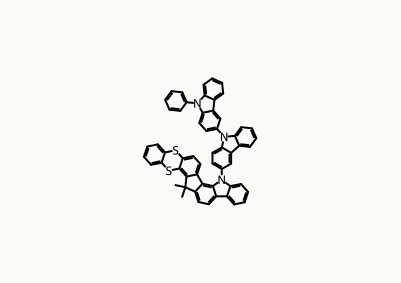 CC1(C)c2ccc3c4ccccc4n(-c4ccc5c(c4)c4ccccc4n5-c4ccc5c(c4)c4ccccc4n5-c4ccccc4)c3c2-c2ccc3c(c21)Sc1ccccc1S3